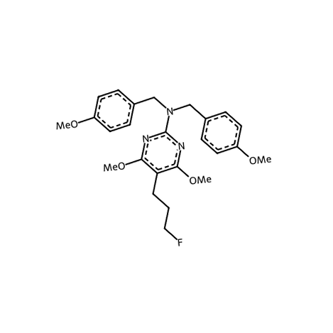 COc1ccc(CN(Cc2ccc(OC)cc2)c2nc(OC)c(CCCF)c(OC)n2)cc1